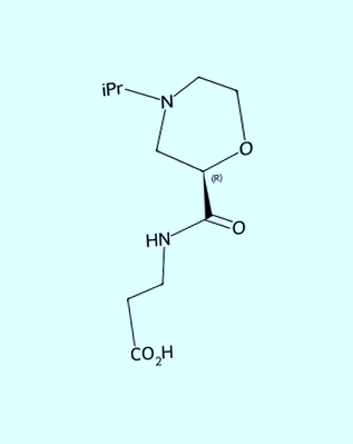 CC(C)N1CCO[C@@H](C(=O)NCCC(=O)O)C1